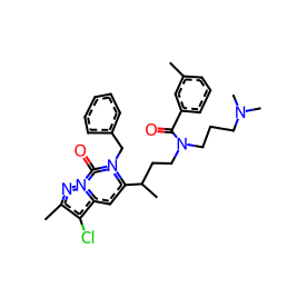 Cc1cccc(C(=O)N(CCCN(C)C)CCC(C)c2cc3c(Cl)c(C)nn3c(=O)n2Cc2ccccc2)c1